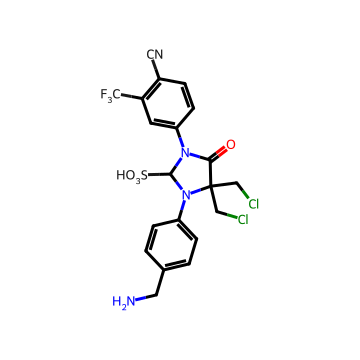 N#Cc1ccc(N2C(=O)C(CCl)(CCl)N(c3ccc(CN)cc3)C2S(=O)(=O)O)cc1C(F)(F)F